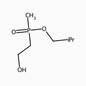 CC(C)COP(C)(=O)CCO